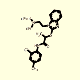 CCCCCN(CCC)CCn1c(SC(C)C(=O)Nc2ccc(C)cc2Cl)nc2ccccc21